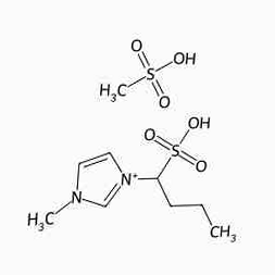 CCCC([n+]1ccn(C)c1)S(=O)(=O)O.CS(=O)(=O)O